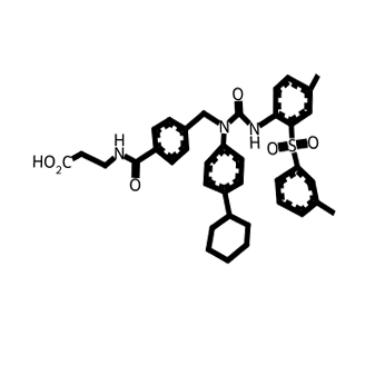 Cc1cccc(S(=O)(=O)c2cc(C)ccc2NC(=O)N(Cc2ccc(C(=O)NCCC(=O)O)cc2)c2ccc(C3CCCCC3)cc2)c1